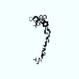 NCCOCCOCCOCCN1CCN(c2ccc3c(c2)C[N+]([O-])(C2CCC(=O)NC2=O)C3=O)CC1